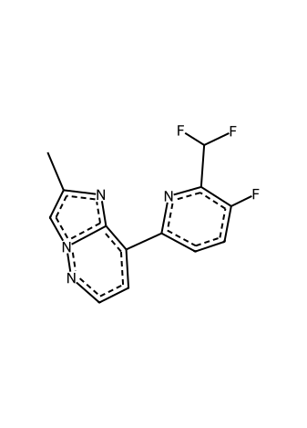 Cc1cn2nccc(-c3ccc(F)c(C(F)F)n3)c2n1